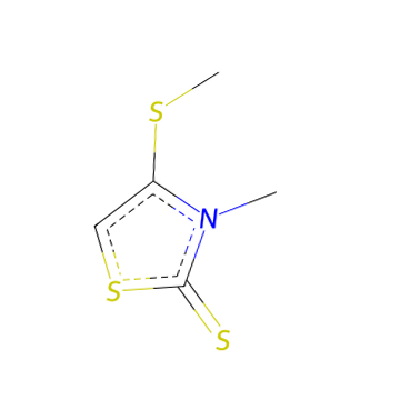 CSc1csc(=S)n1C